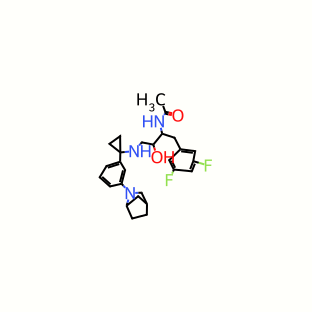 CC(=O)NC(Cc1cc(F)cc(F)c1)C(O)CNC1(c2cccc(N3CC4CCC3C4)c2)CC1